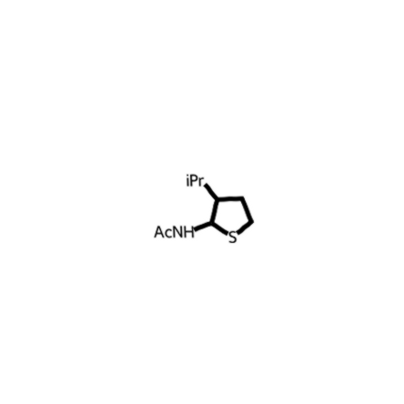 CC(=O)NC1SCCC1C(C)C